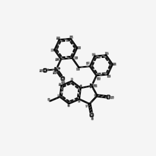 Cc1ccc2c(c1)C(=O)C(=O)N2c1ccccc1Cc1ccccc1[N+](=O)[O-]